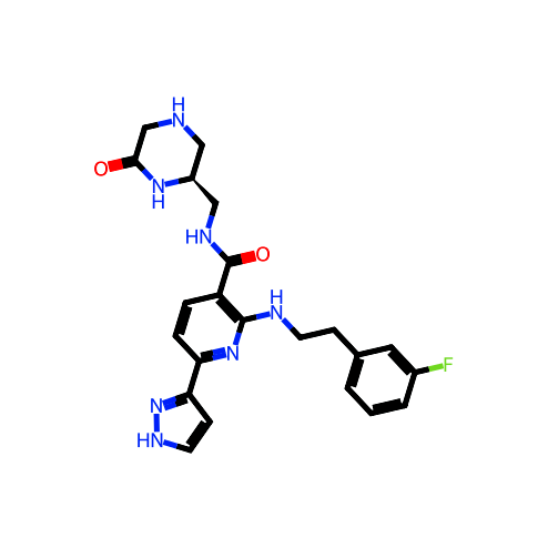 O=C1CNC[C@@H](CNC(=O)c2ccc(-c3cc[nH]n3)nc2NCCc2cccc(F)c2)N1